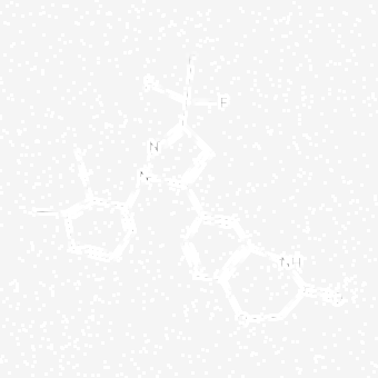 Cc1cccc(-n2nc(C(F)(F)F)cc2-c2ccc3c(c2)NC(=O)CO3)c1C